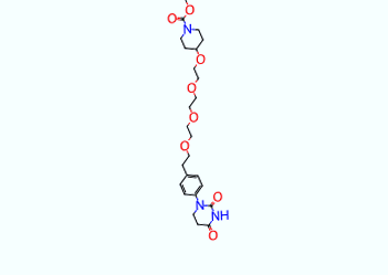 COC(=O)N1CCC(OCCOCCOCCOCCc2ccc(N3CCC(=O)NC3=O)cc2)CC1